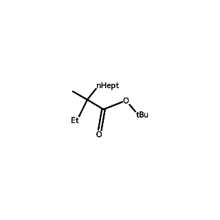 CCCCCCCC(C)(CC)C(=O)OC(C)(C)C